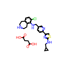 Clc1ccc2c(c1NCc1ccc(-c3csc(NCC4CC4)n3)nc1)CCNCC2.O=C(O)CCC(=O)O